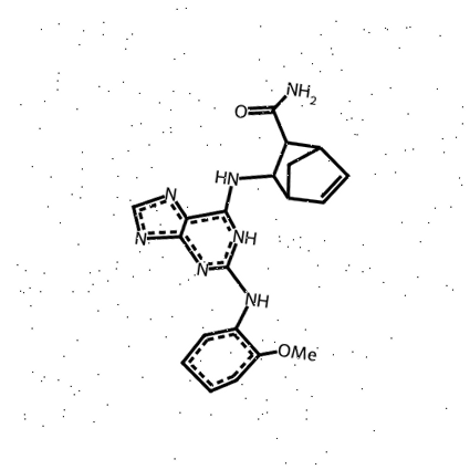 COc1ccccc1Nc1nc2ncnc-2c(NC2C3C=CC(C3)C2C(N)=O)[nH]1